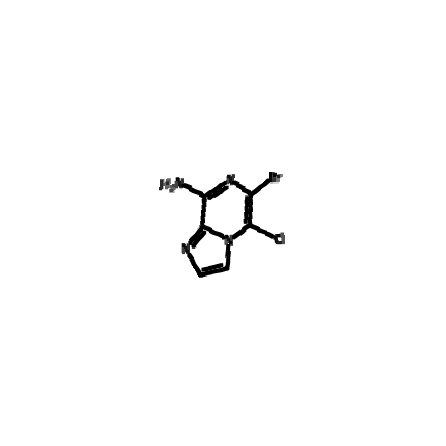 Nc1nc(Br)c(Cl)n2ccnc12